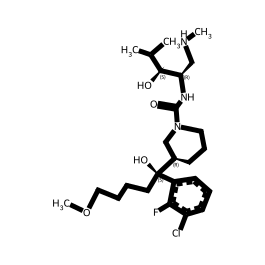 CNC[C@@H](NC(=O)N1CCC[C@@H]([C@@](O)(CCCCOC)c2cccc(Cl)c2F)C1)[C@@H](O)C(C)C